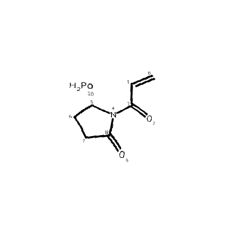 C=CC(=O)N1CCCC1=O.[PoH2]